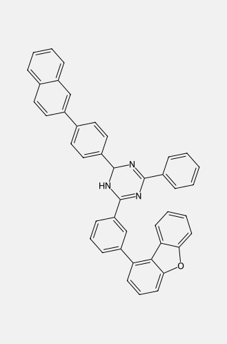 c1ccc(C2=NC(c3ccc(-c4ccc5ccccc5c4)cc3)NC(c3cccc(-c4cccc5oc6ccccc6c45)c3)=N2)cc1